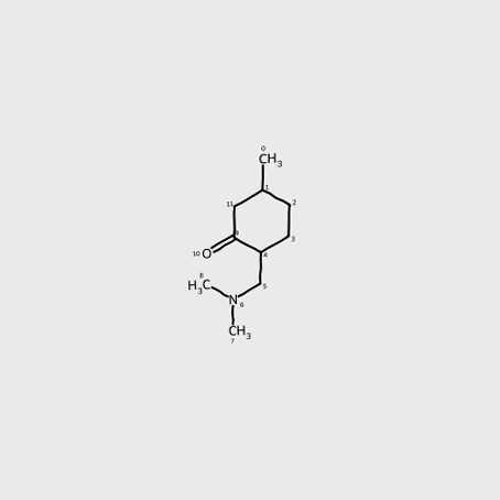 CC1CCC(CN(C)C)C(=O)C1